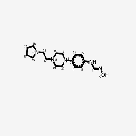 O/N=C/Nc1ccc(N2CCN(CCN3CCCC3)CC2)cc1